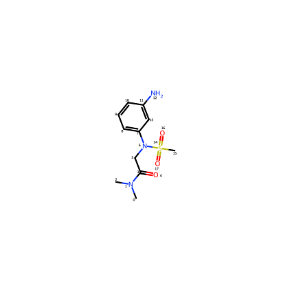 CN(C)C(=O)CN(c1cccc(N)c1)S(C)(=O)=O